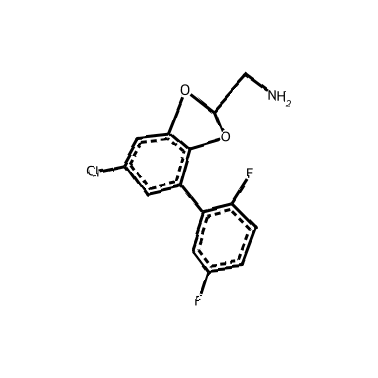 NCC1Oc2cc(Cl)cc(-c3cc(F)ccc3F)c2O1